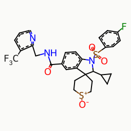 O=C(NCc1ncccc1C(F)(F)F)c1ccc2c(c1)C1(CC[S+]([O-])CC1)C(C1CC1)N2S(=O)(=O)c1ccc(F)cc1